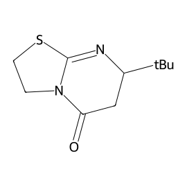 CC(C)(C)C1CC(=O)N2CCSC2=N1